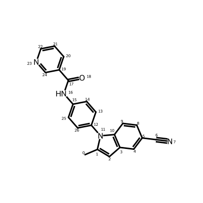 Cc1cc2cc(C#N)ccc2n1-c1ccc(NC(=O)c2cccnc2)cc1